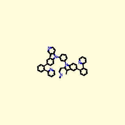 C=N/C=C\c1c(C)c2cc(-c3ccccc3-c3ccccn3)ccc2n1-c1cccc(-n2c3ccncc3c3cc(-c4ccccc4-c4ccccn4)ccc32)c1